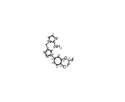 Nc1nccn1Cc1cn(-c2ccc(Cl)c(OC(F)F)c2)nn1